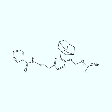 COC(C)OCOc1ccc(CC=CNC(=O)c2ccccc2)cc1C12CC3CC(CC(C3)C1)C2